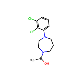 CB(O)N1CCCN(c2cccc(Cl)c2Cl)CC1